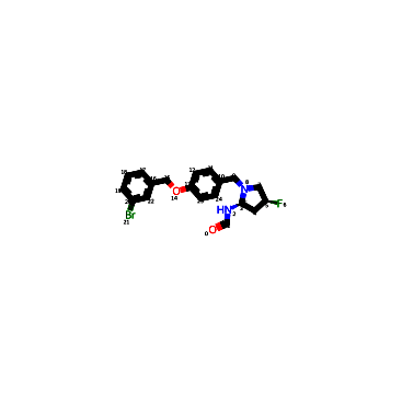 O=CN[C@@H]1C[C@H](F)CN1Cc1ccc(OCc2cccc(Br)c2)cc1